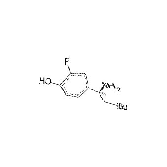 CCC(C)C[C@H](N)c1ccc(O)c(F)c1